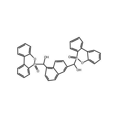 O=P1(C(O)c2ccc3c(C(O)P4(=O)Oc5ccccc5-c5ccccc54)cccc3c2)Oc2ccccc2-c2ccccc21